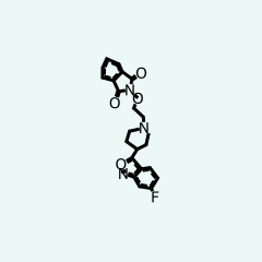 O=C1c2ccccc2C(=O)N1OCCN1CCC(c2onc3cc(F)ccc23)CC1